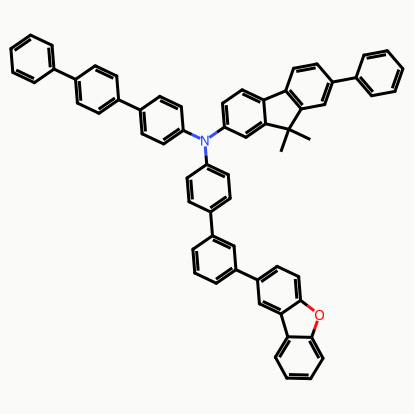 CC1(C)c2cc(-c3ccccc3)ccc2-c2ccc(N(c3ccc(-c4ccc(-c5ccccc5)cc4)cc3)c3ccc(-c4cccc(-c5ccc6oc7ccccc7c6c5)c4)cc3)cc21